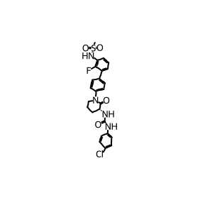 CS(=O)(=O)Nc1cccc(-c2ccc(N3CCC[C@@H](NC(=O)Nc4ccc(Cl)cc4)C3=O)cc2)c1F